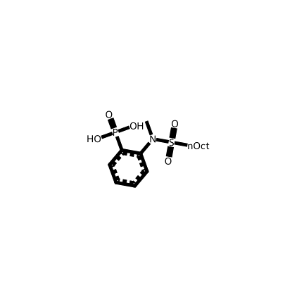 [CH2]CCCCCCCS(=O)(=O)N(C)c1ccccc1P(=O)(O)O